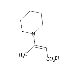 CCOC(=O)C=C(C)N1CCCCC1